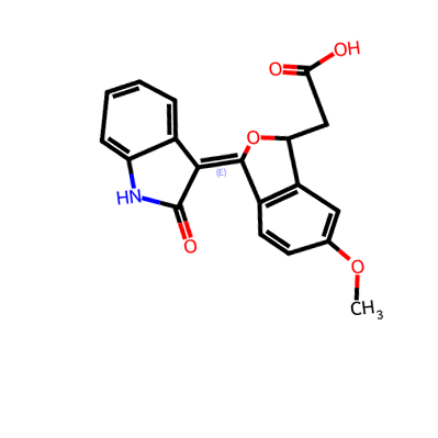 COc1ccc2c(c1)C(CC(=O)O)O/C2=C1/C(=O)Nc2ccccc21